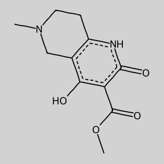 COC(=O)c1c(O)c2c([nH]c1=O)CCN(C)C2